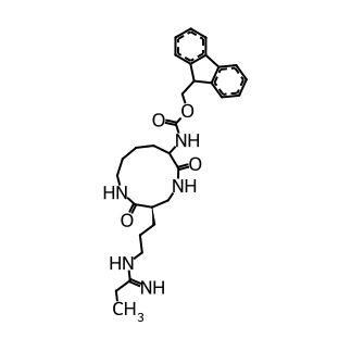 CCC(=N)NCCC[C@@H]1CNC(=O)C(NC(=O)OCC2c3ccccc3-c3ccccc32)CCCCNC1=O